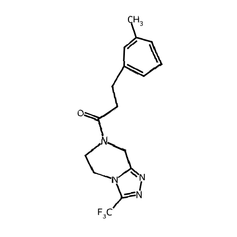 Cc1cccc(CCC(=O)N2CCn3c(nnc3C(F)(F)F)C2)c1